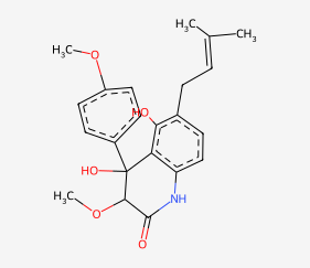 COc1ccc(C2(O)c3c(ccc(CC=C(C)C)c3O)NC(=O)C2OC)cc1